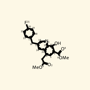 COC(=O)Cc1cc(C(=O)OC)c(O)c2ncc(Cc3ccc(F)cc3)cc12